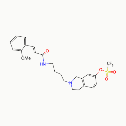 COc1ccccc1C=CC(=O)NCCCCN1CCc2ccc(OS(=O)(=O)C(F)(F)F)cc2C1